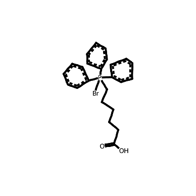 O=C(O)CCCCCP(Br)(c1ccccc1)(c1ccccc1)c1ccccc1